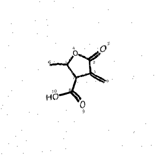 C=C1C(=O)OC(C)C1C(=O)O